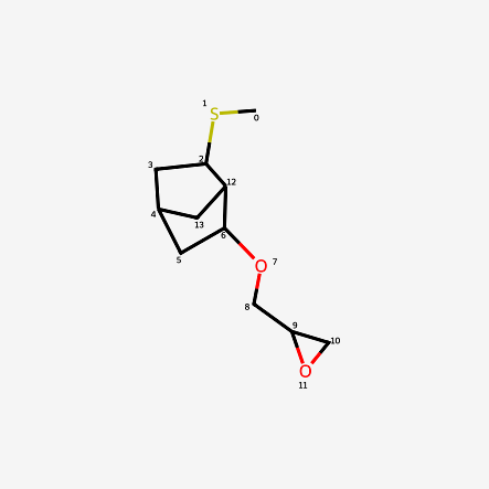 CSC1CC2CC(OCC3CO3)C1C2